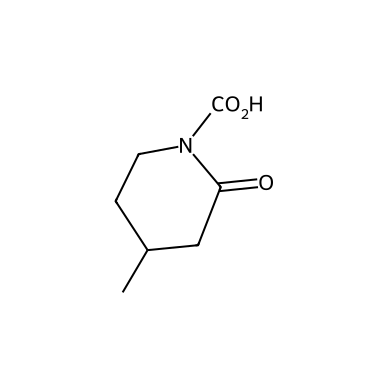 CC1CCN(C(=O)O)C(=O)C1